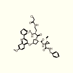 BN[C@@H](CCNC(=O)CCl)C(=O)N1C[C@H](Oc2cc(-c3ccccc3)nc3cc(OC)ccc23)C[C@H]1C(=O)N[C@]1(C(=O)NSc2ccccc2)C[C@H]1C=C